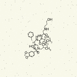 CC(C)CN(C[C@@H](O)[C@H](Cc1ccccc1)NC(=O)[C@@H](NC(=O)CNCCCO)C(C)(C)C)S(=O)(=O)c1ccc2c(c1)OCO2